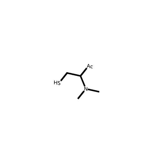 CC(=O)C(CS)N(C)C